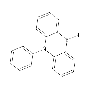 IB1c2ccccc2N(c2ccccc2)c2ccccc21